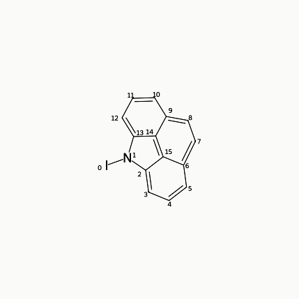 In1c2cccc3ccc4cccc1c4c32